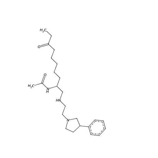 CCC(=O)CCCCCC(CNCCN1CCC(c2ccccc2)C1)NC(C)=O